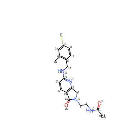 CCC(=O)NCCN1Cc2nc(NCc3ccc(F)cc3C)ccc2C1=O